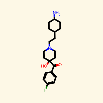 NC1CCC(CCN2CCC(O)(C(=O)c3ccc(F)cc3)CC2)CC1